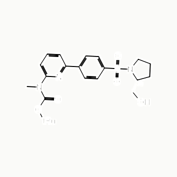 CN(C(=O)OC(C)(C)C)c1cccc(-c2ccc(S(=O)(=O)N3CCC[C@@H]3CO)cc2)n1